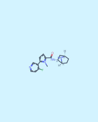 Cn1c(C(=O)N[C@@H]2C[C@H]3CC[C@@H]2N3)ccc1-c1cnccc1F